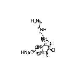 CC(=O)O.NCCNCCN.Oc1c(Cl)c(Cl)c(Cl)c(Cl)c1Cl.[NaH]